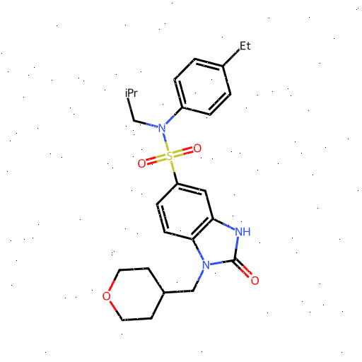 CCc1ccc(N(CC(C)C)S(=O)(=O)c2ccc3c(c2)[nH]c(=O)n3CC2CCOCC2)cc1